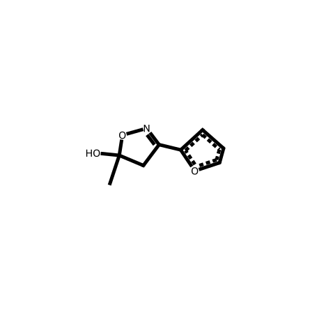 CC1(O)CC(c2ccco2)=NO1